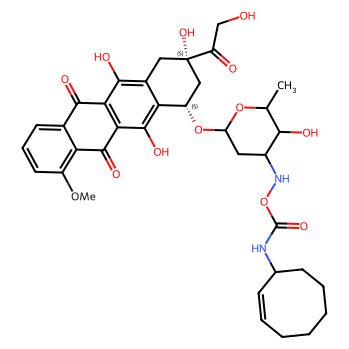 COc1cccc2c1C(=O)c1c(O)c3c(c(O)c1C2=O)C[C@@](O)(C(=O)CO)C[C@@H]3OC1CC(NOC(=O)NC2C=CCCCCC2)C(O)C(C)O1